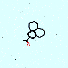 CC(=O)c1cc2c3c(c1)CCCCC3CCCC2